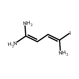 NC(N)=C/C=C(\N)I